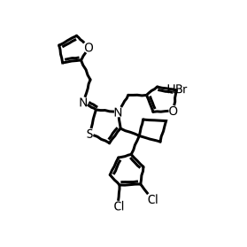 Br.Clc1ccc(C2(c3csc(=NCc4ccco4)n3Cc3ccoc3)CCC2)cc1Cl